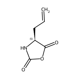 C=CC[C@@H]1NC(=O)OC1=O